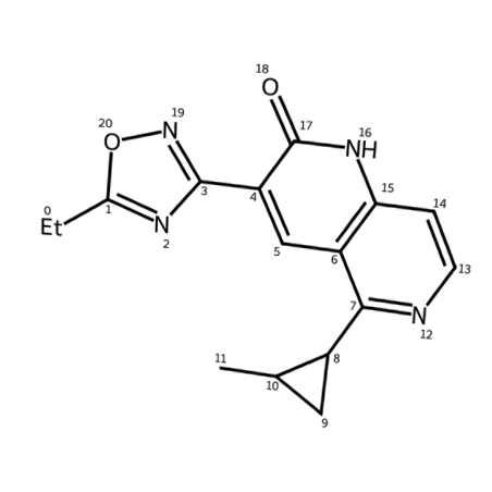 CCc1nc(-c2cc3c(C4CC4C)nccc3[nH]c2=O)no1